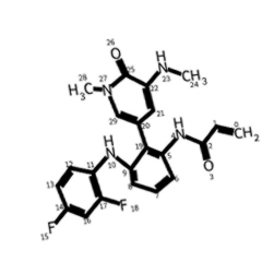 C=CC(=O)Nc1cccc(Nc2ccc(F)cc2F)c1-c1cc(NC)c(=O)n(C)c1